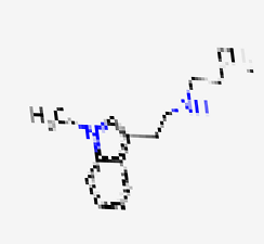 CCCNCCc1cn(C)c2ccccc12